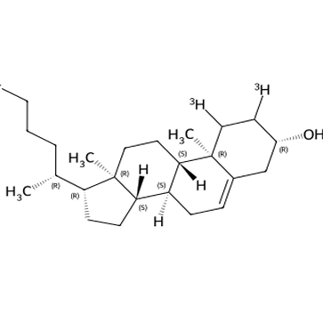 [3H]C1C([3H])[C@@]2(C)C(=CC[C@H]3[C@@H]4CC[C@H]([C@H](C)CCCC(C)C)[C@@]4(C)CC[C@@H]32)C[C@H]1O